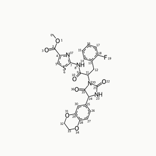 COC(=O)c1csc(NC(=O)C(Cc2ccccc2F)N2C(=O)NC(c3ccc4c(c3)OCCO4)C2=O)n1